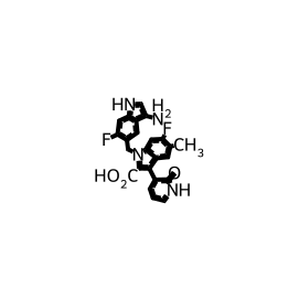 Cc1cc2c(-c3ccc[nH]c3=O)c(C(=O)O)n(Cc3cc4c(N)c[nH]c4cc3F)c2cc1F